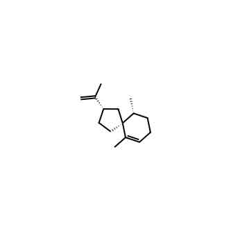 C=C(C)[C@H]1CC[C@@]2(C1)C(C)=CCC[C@H]2C